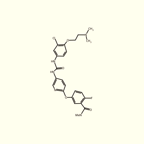 CNC(=O)c1cc(Oc2ccc(NC(=O)Nc3ccc(OCCN(C)C)c(Cl)c3)cn2)ccc1F